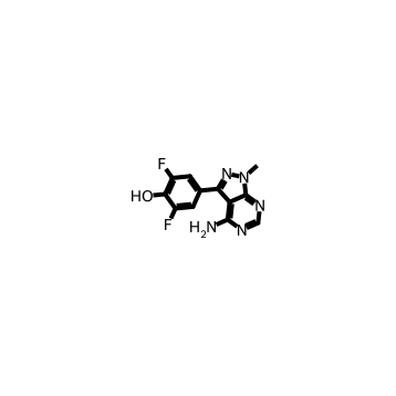 Cn1nc(-c2cc(F)c(O)c(F)c2)c2c(N)ncnc21